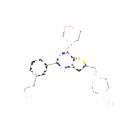 CN1CCN(Cc2cc3nc(-c4cccc(CCO)c4)nc(N4CCOCC4)c3s2)CC1